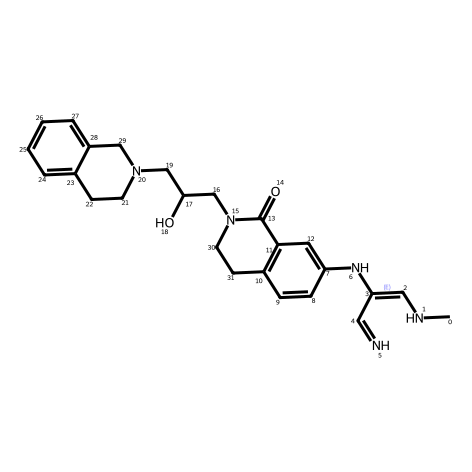 CN/C=C(\C=N)Nc1ccc2c(c1)C(=O)N(CC(O)CN1CCc3ccccc3C1)CC2